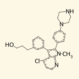 Cn1c(-c2ccc(N3CCNCC3)cc2)c(-c2cccc(CCCO)c2)c2c(Cl)ccnc21